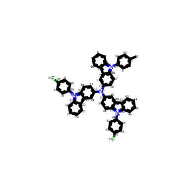 Cc1ccc(-n2c3ccccc3c3cc(N(c4ccc5c(c4)c4ccccc4n5-c4ccc(F)cc4)c4ccc5c(c4)c4ccccc4n5-c4ccc(F)cc4)ccc32)cc1